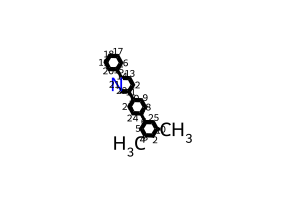 Cc1cc(C)cc(-c2ccc(-c3ccc(-c4ccccc4)nc3)cc2)c1